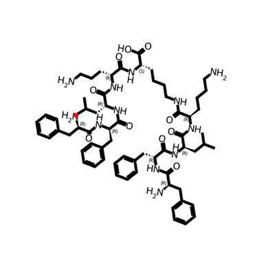 CC(C)C[C@@H](NC(=O)[C@@H](Cc1ccccc1)NC(=O)[C@H](N)Cc1ccccc1)C(=O)N[C@H](CCCCN)C(=O)NCCCC[C@H](NC(=O)[C@@H](CCCN)NC(=O)[C@@H](CC(C)C)NC(=O)[C@@H](Cc1ccccc1)NC(=O)[C@H](N)Cc1ccccc1)C(=O)O